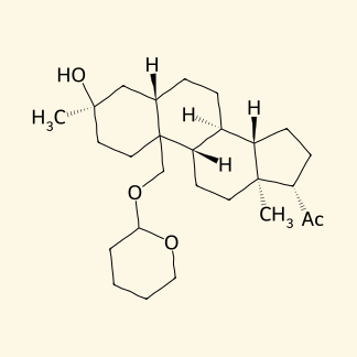 CC(=O)[C@H]1CC[C@H]2[C@@H]3CC[C@H]4C[C@](C)(O)CCC4(COC4CCCCO4)[C@H]3CC[C@]12C